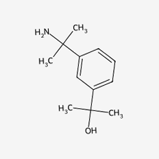 CC(C)(N)c1cccc(C(C)(C)O)c1